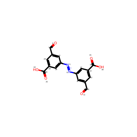 O=Cc1cc(/N=N/c2cc(C=O)cc(C(=O)O)c2)cc(C(=O)O)c1